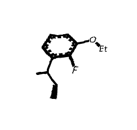 C=C[C](C)c1cccc(OCC)c1F